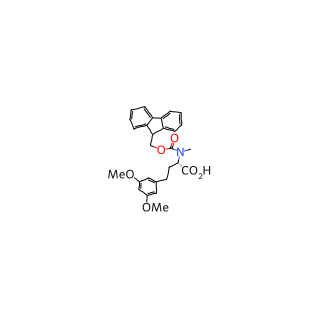 COc1cc(CC[C@@H](C(=O)O)N(C)C(=O)OCC2c3ccccc3-c3ccccc32)cc(OC)c1